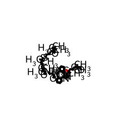 CC(C)(C=O)OCCC(C)(C)n1nnc2c1-c1ccccc1CN(C(=O)CCNC(=O)C(C)(C)OCCC(C)(C)SSCCOC(=O)C(C)(C)C)c1ccccc1-2